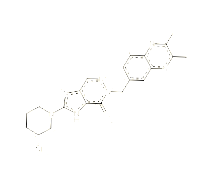 Cc1nc2ccc(Cn3ncc4nc(N5CCC[C@@H](N)C5)[nH]c4c3=O)cc2nc1C